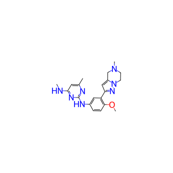 CNc1cc(C)nc(Nc2ccc(OC)c(-c3cc4n(n3)CCN(C)C4)c2)n1